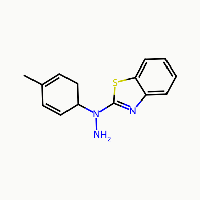 CC1=CCC(N(N)c2nc3ccccc3s2)C=C1